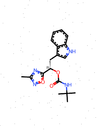 Cc1noc([C@H](Cc2c[nH]c3ccccc23)OC(=O)NC(C)(C)C)n1